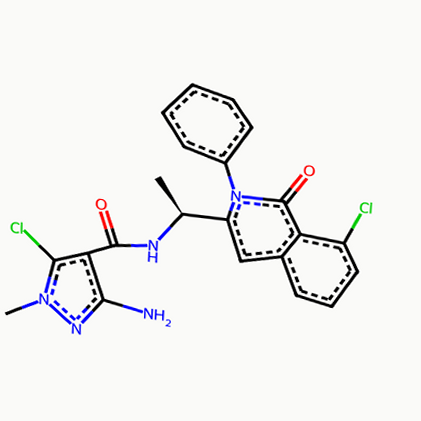 C[C@H](NC(=O)c1c(N)nn(C)c1Cl)c1cc2cccc(Cl)c2c(=O)n1-c1ccccc1